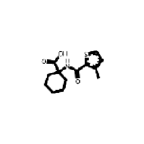 Cc1ccsc1C(=O)NC1(C(=O)O)CCCCC1